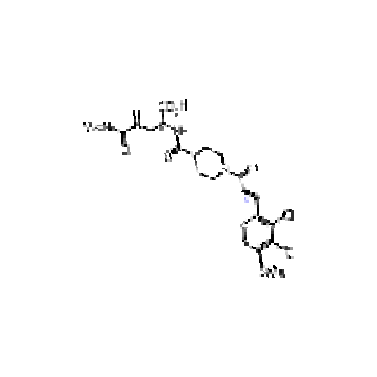 CNC(=O)NC[C@H](NC(=O)C1CCN(C(=O)/C=C/c2ccc(SC)c(Cl)c2Cl)CC1)C(=O)O